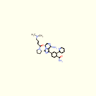 CN(C)C/C=C/C(=O)N1CCC[C@H]1c1nc(-c2ccc(C(N)=O)c(-c3ccccn3)c2)c2c(N)nccn12